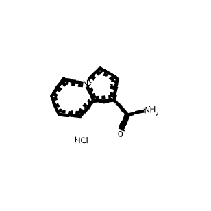 Cl.NC(=O)c1ccn2ccccc12